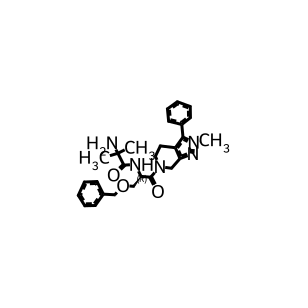 Cn1nc2c(c1-c1ccccc1)CCN(C(=O)[C@@H](COCc1ccccc1)NC(=O)C(C)(C)N)C2